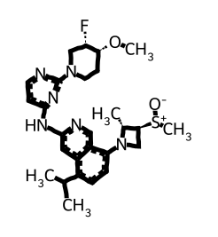 CO[C@@H]1CCN(c2nccc(Nc3cc4c(C(C)C)ccc(N5C[C@H]([S+](C)[O-])[C@H]5C)c4cn3)n2)C[C@@H]1F